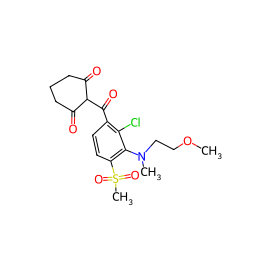 COCCN(C)c1c(S(C)(=O)=O)ccc(C(=O)C2C(=O)CCCC2=O)c1Cl